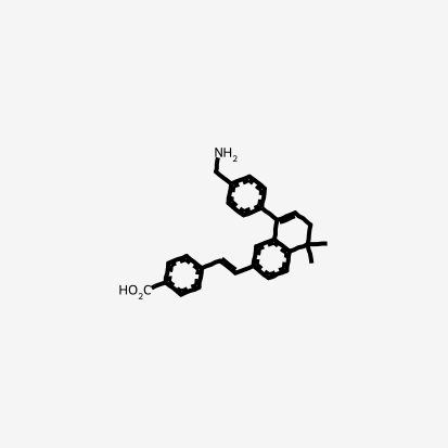 CC1(C)CC=C(c2ccc(CN)cc2)c2cc(C=Cc3ccc(C(=O)O)cc3)ccc21